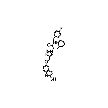 O=C(NCc1ccc(F)cc1)[C@H](Cc1ccccc1)n1cc(COc2ccc3nc(S)sc3c2)nn1